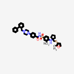 Cc1occc1SCC1(Nc2ccc(S(=O)(=O)NC(=O)c3ccc(N4CCN(Cc5ccccc5-c5ccccc5)CC4)cc3)cc2[N+](=O)[O-])CCCC1